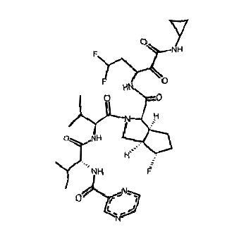 CC(C)[C@H](NC(=O)[C@H](NC(=O)c1cnccn1)C(C)C)C(=O)N1C[C@H]2[C@H](CC[C@@H]2F)C1C(=O)NC(CC(F)F)C(=O)C(=O)NC1CC1